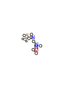 c1ccc(-c2nc(-c3ccc(-c4nc5ccccc5c5c6c(ccc45)C4(c5ccccc5S6)c5ccccc5-c5ccccc54)cc3)cc(-c3cccc4c3oc3ccccc34)n2)cc1